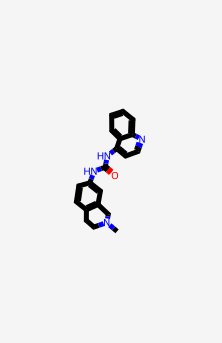 CN1CCc2ccc(NC(=O)Nc3ccnc4ccccc34)cc2C1